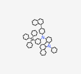 c1ccc(-n2c3cccc(N(c4ccc(-c5cccc6ccccc56)cc4)c4cccc([Si](c5ccccc5)(c5ccccc5)c5ccccc5)c4)c3c3ccc4ccccc4c32)cc1